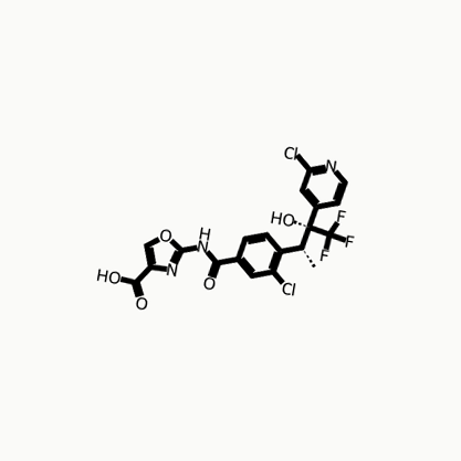 C[C@H](c1ccc(C(=O)Nc2nc(C(=O)O)co2)cc1Cl)[C@@](O)(c1ccnc(Cl)c1)C(F)(F)F